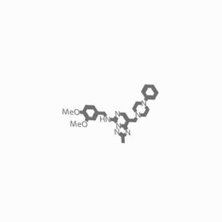 COc1ccc(CNc2ncc(CN3CCN(c4ccccc4)CC3)c3nc(C)nn23)cc1OC